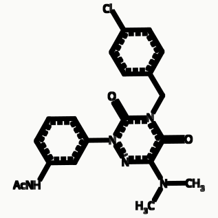 CC(=O)Nc1cccc(-n2nc(N(C)C)c(=O)n(Cc3ccc(Cl)cc3)c2=O)c1